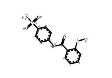 CCSc1ccccc1C(=O)Nc1ccc(S(N)(=O)=O)cc1